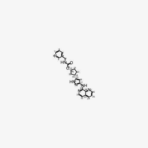 O=C(NCc1cccnc1)O[C@@H]1CC[C@H](c2cc(Nc3nccc4cccnc34)n[nH]2)C1